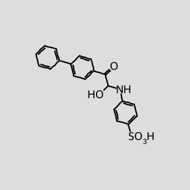 O=C(c1ccc(-c2ccccc2)cc1)C(O)Nc1ccc(S(=O)(=O)O)cc1